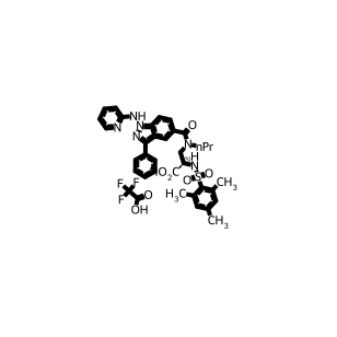 CCCN(C[C@H](NS(=O)(=O)c1c(C)cc(C)cc1C)C(=O)O)C(=O)c1ccc2c(c1)c(-c1ccccc1)nn2Nc1ccccn1.O=C(O)C(F)(F)F